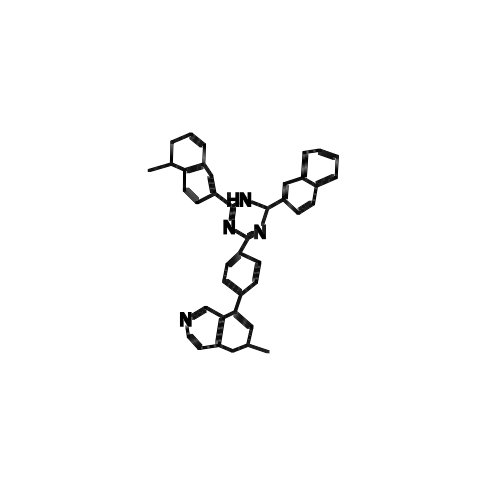 CC1C=C(c2ccc(C3=NC(c4ccc5ccccc5c4)NC(c4ccc5c(c4)C=CCC5C)=N3)cc2)c2cnccc2C1